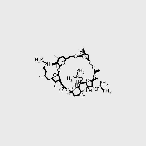 C=C1CCC2CC(=C)[C@H](CCC3C[C@@H](C)C(=C)[C@@H](CC4O[C@H](C[C@H](C)CCPP)[C@H](C)[C@H]4CC(=O)C[C@H]4CC[C@@H]5O[C@@H]6C(O[C@H](C1)[C@@H]6OP(P)P)[C@@H](OP(P)P)[C@H]5O4)O3)O2